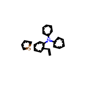 C=Cc1ccccc1N(c1ccccc1)c1ccccc1.c1ccsc1